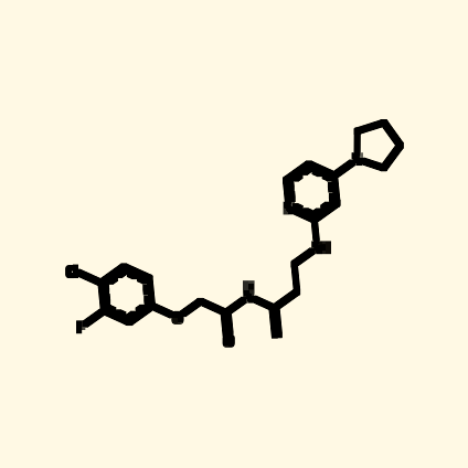 C=C(CCNc1cc(N2CCCC2)ccn1)NC(=O)COc1ccc(Cl)c(F)c1